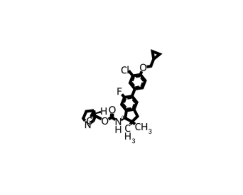 CC1(C)Cc2cc(-c3ccc(OCC4CC4)c(Cl)c3)c(F)cc2[C@@H]1NC(=O)O[C@@H]1CN2CCC1CC2